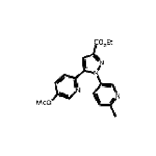 CCOC(=O)c1cc(-c2ccc(OC)cn2)n(-c2ccc(C)nc2)n1